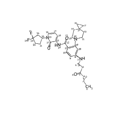 CCOC(=O)CSNc1ccc(C(=O)Nc2cccn(C3CCC(F)(F)C3)c2=O)c(N2CCC3(CC2)CC3)c1